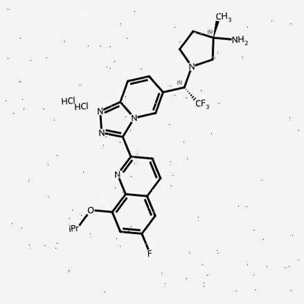 CC(C)Oc1cc(F)cc2ccc(-c3nnc4ccc([C@H](N5CC[C@](C)(N)C5)C(F)(F)F)cn34)nc12.Cl.Cl